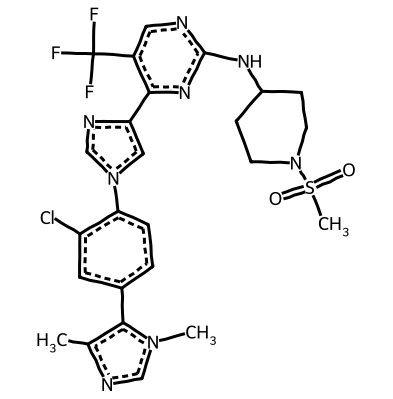 Cc1ncn(C)c1-c1ccc(-n2cnc(-c3nc(NC4CCN(S(C)(=O)=O)CC4)ncc3C(F)(F)F)c2)c(Cl)c1